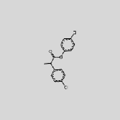 CC(C(=O)Oc1ccc(Cl)cc1)c1ccc(Cl)cc1